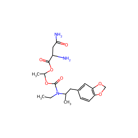 CCN(C(=O)OC(C)OC(=O)C(N)CC(N)=O)C(C)Cc1ccc2c(c1)OCO2